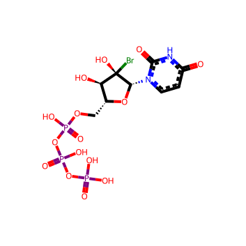 O=c1ccn([C@@H]2O[C@H](COP(=O)(O)OP(=O)(O)OP(=O)(O)O)[C@@H](O)[C@]2(O)Br)c(=O)[nH]1